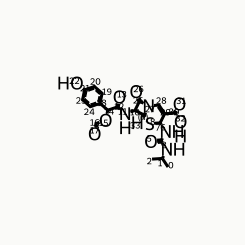 CC(C)NC(=O)NC1S[C@@H]2C(NC(=O)C(OC=O)c3ccc(O)cc3)C(=O)N2C=C1C(=O)O